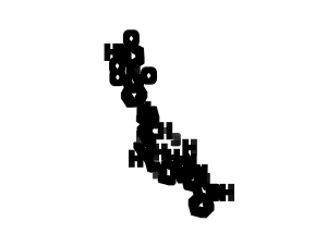 CC1(CN2C[C@@H]3C(CN4CCN5c6cc(-c7ccccc7O)nnc6NC[C@H]5C4)[C@@H]3C2)CCN(c2ccc3c(c2)C(=O)N(C2CCC(=O)NC2=O)C3=O)C1